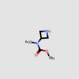 CC(=O)ON(C(=O)OC(C)(C)C)C1CNC1